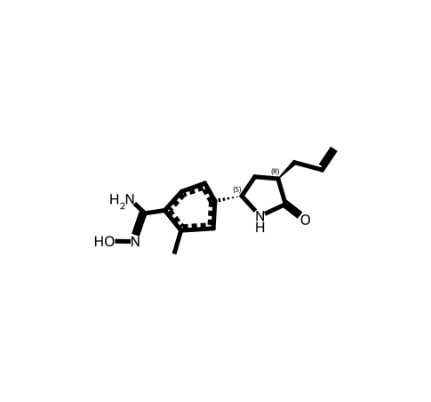 C=CC[C@@H]1C[C@@H](c2ccc(C(N)=NO)c(C)c2)NC1=O